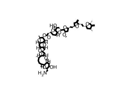 C=C1C[C@H](CC[C@@H]2C[C@@H](OC)[C@@H]([C@H]3C[C@@H](O)[C@H]4O[C@@H](CC(=O)O[C@@H]5[C@@H](C)[C@@H]6O[C@@H]7C[C@]8(C[C@@H]9OO[C@H]%10C[C@@H](O)[C@@H](CN)O[C@H]%10[C@@H](C)CC[C@H](C)[C@@H]9O8)O[C@@H]7C[C@@H]6O[C@H]5C)CC[C@@H]4O3)O2)O[C@H]1CC[C@H]1C[C@@H](C)C(=C)[C@@H](C)O1